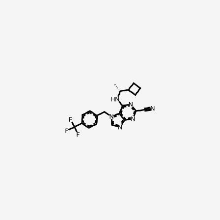 C[C@@H](Nc1nc(C#N)nc2ncn(Cc3ccc(C(F)(F)F)cc3)c12)C1CCC1